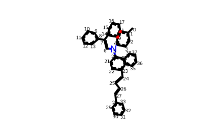 Cc1ccc(N(C=C(c2ccccc2)c2ccccc2)c2ccc(/C=C/C=C/c3ccccc3)c3ccccc23)cc1